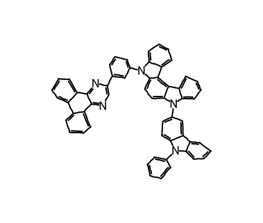 c1ccc(-n2c3ccccc3c3cc(-n4c5ccccc5c5c6c7ccccc7n(-c7cccc(-c8cnc9c%10ccccc%10c%10ccccc%10c9n8)c7)c6ccc54)ccc32)cc1